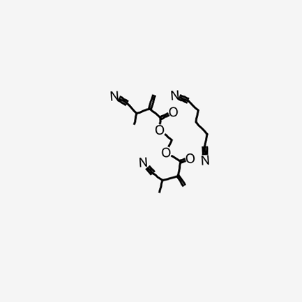 C=C(C(=O)OCOC(=O)C(=C)C(C)C#N)C(C)C#N.N#CCCCC#N